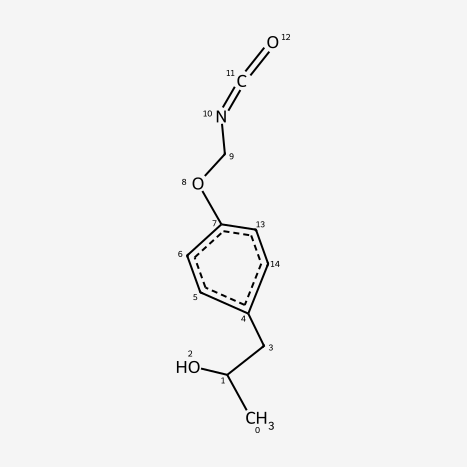 CC(O)Cc1ccc(OCN=C=O)cc1